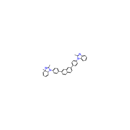 CC1=NC2(C)C=CC=CC2N1c1ccc(-c2ccc3ccc(-c4ccc(-n5c(C)nc6ccccc65)cc4)cc3c2)cc1